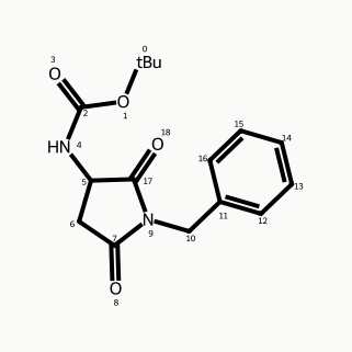 CC(C)(C)OC(=O)NC1CC(=O)N(Cc2ccccc2)C1=O